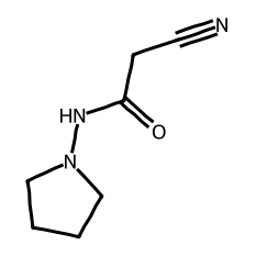 N#CCC(=O)NN1CCCC1